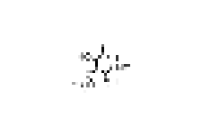 CC(O)C(O)C(OS(=O)(=O)O)C(O)C=O